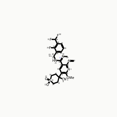 C=Nc1nc(OC)c(C2(C#N)CCS(=O)(=O)CC2)cc1/C(=N\C)N[C@H](C)c1cccc(C(F)F)c1F